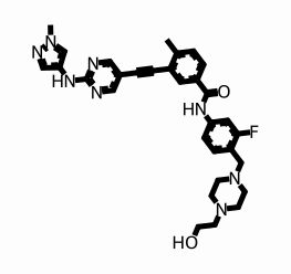 Cc1ccc(C(=O)Nc2ccc(CN3CCN(CCO)CC3)c(F)c2)cc1C#Cc1cnc(Nc2cnn(C)c2)nc1